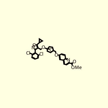 COC(=O)c1ccc2cc(OCC34CCC(OCc5c(-c6c(Cl)cccc6Cl)noc5C5CC5)(CC3)CC4)ccc2n1